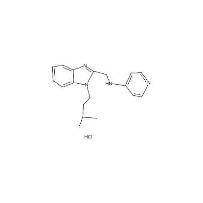 CC(C)CCn1c(CNc2ccncc2)nc2ccccc21.Cl